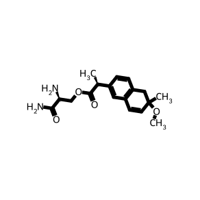 COC1(C)C=Cc2cc([C@H](C)C(=O)OC[C@H](N)C(N)=O)ccc2C1